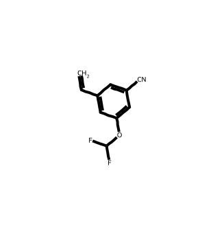 C=Cc1cc(C#N)cc(OC(F)F)c1